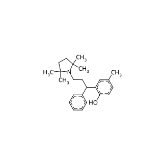 Cc1ccc(O)c(C(CCN2C(C)(C)CCC2(C)C)c2ccccc2)c1